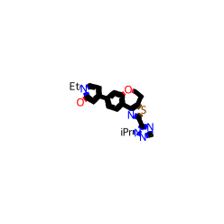 CCn1ccc(-c2ccc3c(c2)OCCc2sc(-c4ncnn4C(C)C)nc2-3)cc1=O